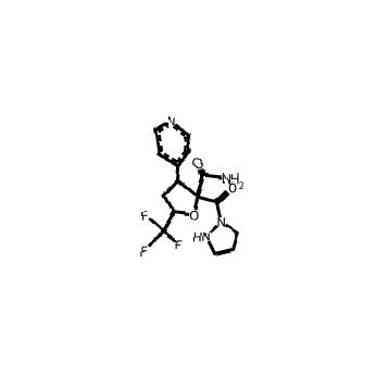 NC(=O)C1(C(=O)N2CCCN2)OC(C(F)(F)F)CC1c1ccncc1